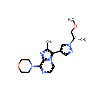 COC[C@H](C)n1cc(-c2c(C)nc3c(N4CCOCC4)nccn23)cn1